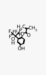 C=C(C)C(=O)Oc1ccc(O)cc1C(O)(C(F)(F)F)C(F)(F)F